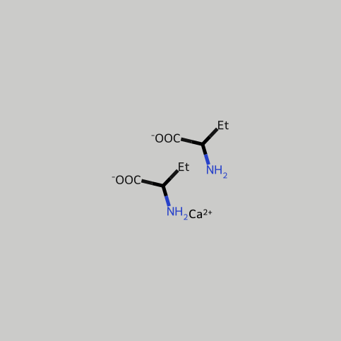 CCC(N)C(=O)[O-].CCC(N)C(=O)[O-].[Ca+2]